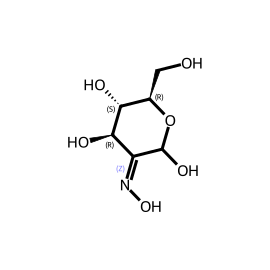 OC[C@H]1OC(O)/C(=N\O)[C@@H](O)[C@@H]1O